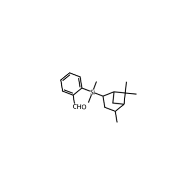 CC1CC([Si](C)(C)c2ccccc2C=O)C2CC1C2(C)C